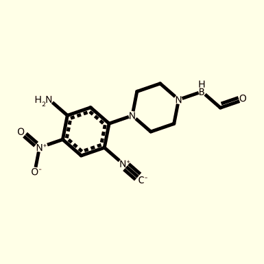 [C-]#[N+]c1cc([N+](=O)[O-])c(N)cc1N1CCN(BC=O)CC1